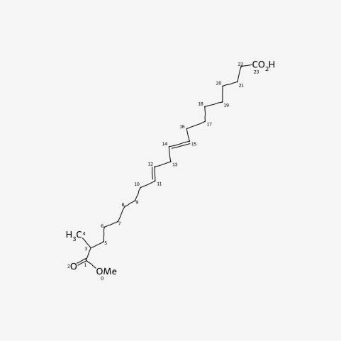 COC(=O)C(C)CCCCCCC=CCC=CCCCCCCCC(=O)O